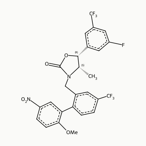 COc1ccc([N+](=O)[O-])cc1-c1ccc(C(F)(F)F)cc1CN1C(=O)O[C@H](c2cc(F)cc(C(F)(F)F)c2)[C@@H]1C